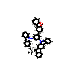 CC1(C)c2ccccc2-c2cc3c4ccccc4n(-c4cc(C5C=Cc6oc7ccccc7c6C5)cc(-n5c6ccccc6c6ccccc65)c4)c3cc21